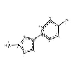 CC(C)c1ccc(-c2cnn(C)c2)nc1